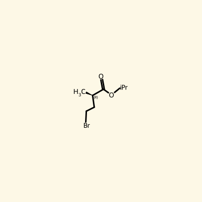 CC(C)OC(=O)[C@H](C)CCBr